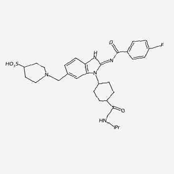 CC(C)NC(=O)C1CCC(n2/c(=N/C(=O)c3ccc(F)cc3)[nH]c3ccc(CN4CCC(S(=O)(=O)O)CC4)cc32)CC1